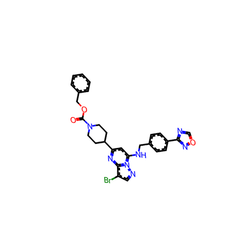 O=C(OCc1ccccc1)N1CCC(c2cc(NCc3ccc(-c4ncon4)cc3)n3ncc(Br)c3n2)CC1